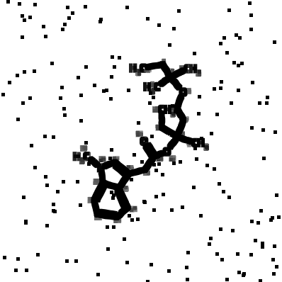 CCC(C)(C)OCCC(C)(CC)OC(=O)Cc1cn(C)c2ccccc12